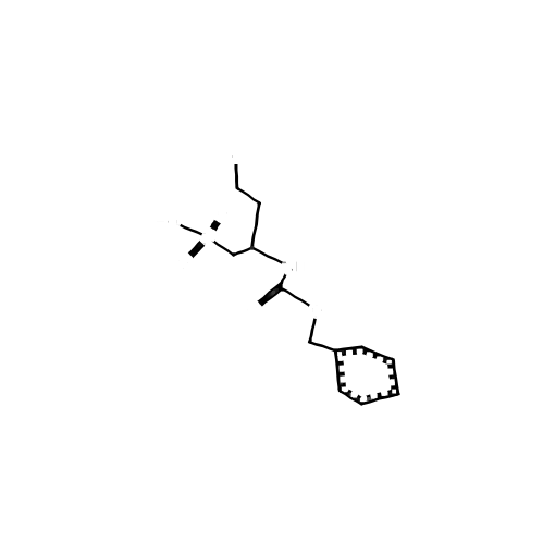 C[CH]CC(CS(=O)(=O)O)NC(=O)OCc1ccccc1